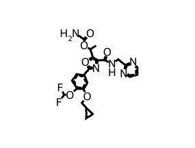 CC(OC(N)=O)c1oc(-c2ccc(OC(F)F)c(OCC3CC3)c2)nc1C(=O)NCc1ncccn1